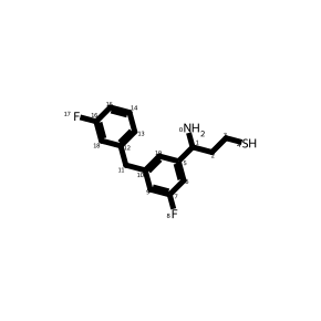 NC(CCS)c1cc(F)cc(Cc2cccc(F)c2)c1